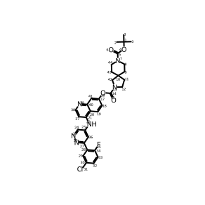 CC(C)(C)OC(=O)N1CCC2(CCN(C(=O)Oc3ccc4c(Nc5cnnc(-c6cc(Cl)ccc6F)c5)ccnc4c3)C2)CC1